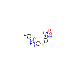 CCc1cccc(NC(=O)Nc2ccc(Sc3ccc4[nH]c(NC(=O)OC)nc4c3)cc2)c1